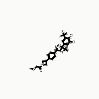 CSCC(=O)N1CC(c2ccc(C3=NOC(c4cc(Cl)c(Cl)c(C(F)(F)F)c4)(C(F)(F)F)C3)cc2)C1